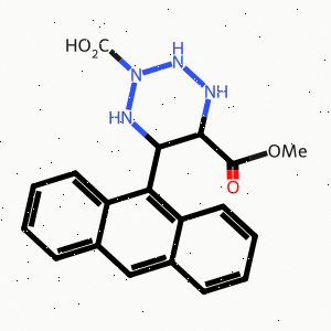 COC(=O)C1NNN(C(=O)O)NC1c1c2ccccc2cc2ccccc12